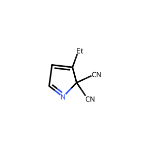 CCC1=CC=NC1(C#N)C#N